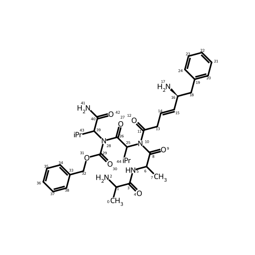 CC(N)C(=O)NC(C)C(=O)N(C(=O)C/C=C/[C@@H](N)Cc1ccccc1)C(C(=O)N(C(=O)OCc1ccccc1)C(C(N)=O)C(C)C)C(C)C